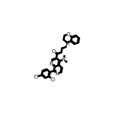 CN(C)c1c(C(=O)CCC[C@H]2CCOc3ccccc32)cnc2c(-c3ccc(Cl)cc3Cl)nccc12